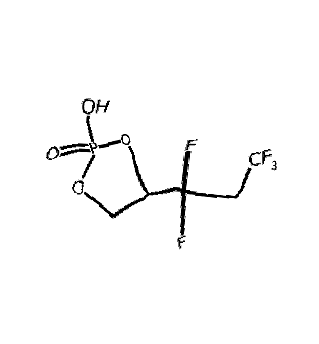 O=P1(O)OCC(C(F)(F)CC(F)(F)F)O1